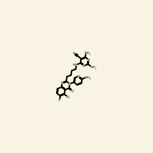 N#Cc1c(N)nc(N)nc1NCCCCc1nc2ccc(F)c(Cl)c2c(=O)n1-c1ccc(N)nc1